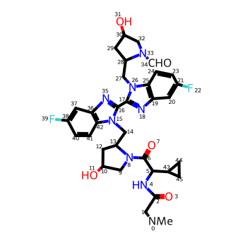 CNCC(=O)NC(C(=O)N1CC(O)CC1Cn1c(-c2nc3cc(F)ccc3n2CC2CC(O)CN2C=O)nc2cc(F)ccc21)C1CC1